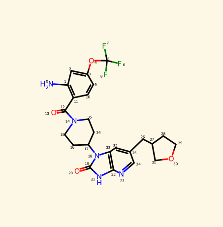 Nc1cc(OC(F)(F)F)ccc1C(=O)N1CCC(n2c(=O)[nH]c3ncc(CC4CCOC4)cc32)CC1